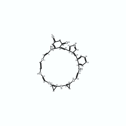 O=C1C=c2[nH]ccoccoccoc3c(oc4c(occ[nH]c5ccccc5cc5c(cc2C(=O)C1)=CN=C5)C4)C3